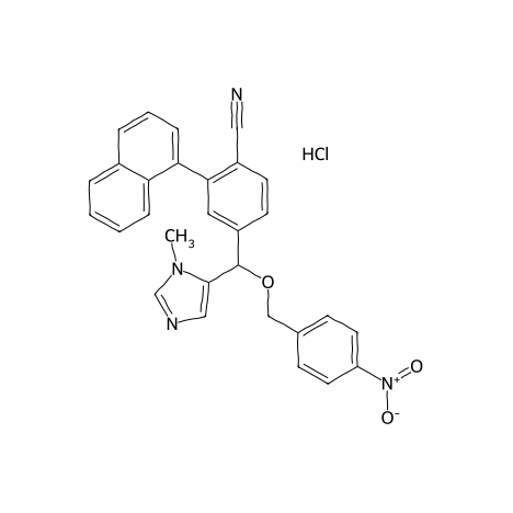 Cl.Cn1cncc1C(OCc1ccc([N+](=O)[O-])cc1)c1ccc(C#N)c(-c2cccc3ccccc23)c1